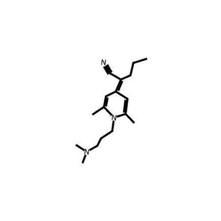 CCCC(C#N)=C1C=C(C)N(CCCN(C)C)C(C)=C1